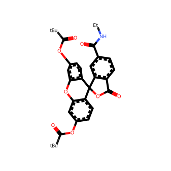 CCNC(=O)c1ccc2c(c1)C1(OC2=O)c2ccc(OC(=O)C(C)(C)C)cc2Oc2cc(OC(=O)C(C)(C)C)ccc21